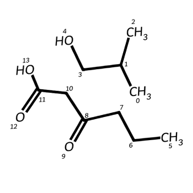 CC(C)CO.CCCC(=O)CC(=O)O